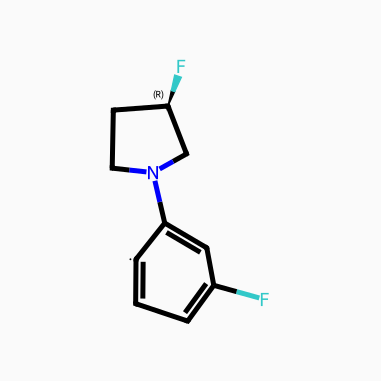 Fc1cc[c]c(N2CC[C@@H](F)C2)c1